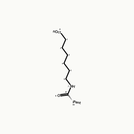 CCCCCCCCCCCCCCNC(=O)[C@@H](C)CCC